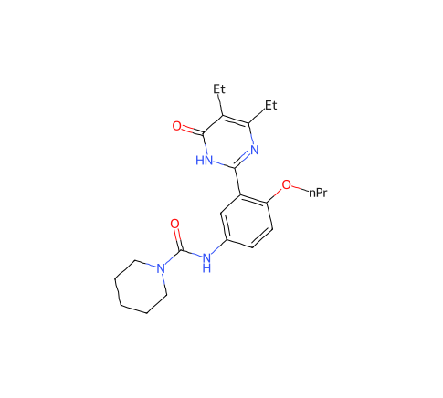 CCCOc1ccc(NC(=O)N2CCCCC2)cc1-c1nc(CC)c(CC)c(=O)[nH]1